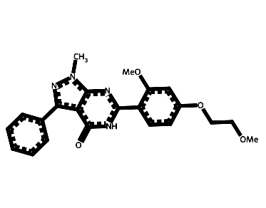 COCCOc1ccc(-c2nc3c(c(-c4ccccc4)nn3C)c(=O)[nH]2)c(OC)c1